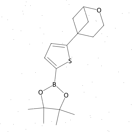 CC1(C)OB(c2ccc(C34CCOC(C3)C4)s2)OC1(C)C